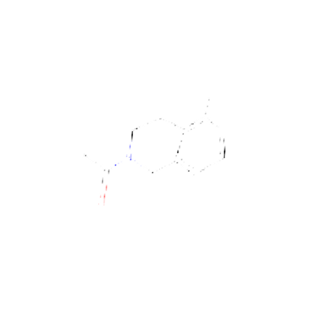 CC(=O)N1CCc2c(C)cccc2C1